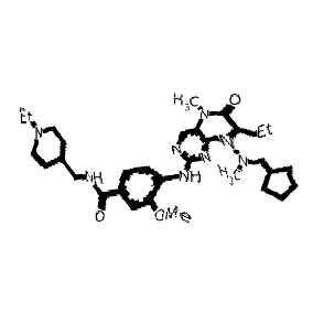 CCC1C(=O)N(C)c2cnc(Nc3ccc(C(=O)NCC4CCN(CC)CC4)cc3OC)nc2N1N(C)CC1CCCC1